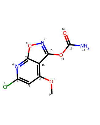 COc1cc(Cl)nc2onc(OC(N)=O)c12